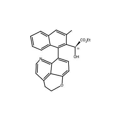 CCOC(=O)[C@@H](O)c1c(C)cc2ccccc2c1-c1ccc2c3c(ccnc13)CCO2